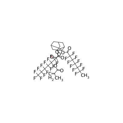 C=C(C)C(=O)OCC(=O)OC12CC3CC(C1)C(OC(=O)C(F)(F)C(F)(F)C(F)(F)C(F)(F)C(C)(F)F)(OC(=O)C(F)(F)C(F)(F)C(F)(F)C(F)(F)C(F)(F)C(F)(F)F)C(C3)C2